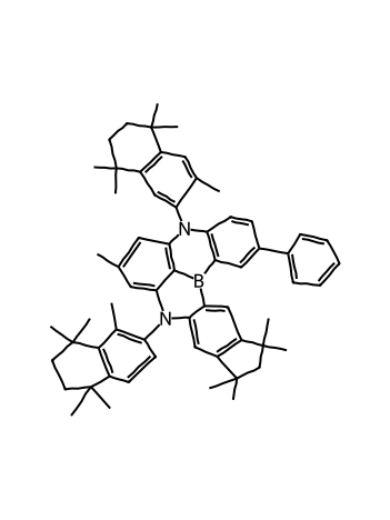 Cc1cc2c3c(c1)N(c1ccc4c(c1C)C(C)(C)CCC4(C)C)c1cc4c(cc1B3c1cc(-c3ccccc3)ccc1N2c1cc2c(cc1C)C(C)(C)CCC2(C)C)C(C)(C)CC4(C)C